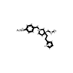 CCOC[C@@]1(CCc2cccs2)CCN(Cc2ccc(NC(C)=O)cc2)C1